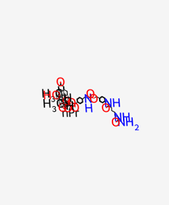 CCCC1O[C@@H]2CC3[C@@H]4CCC5=CC(=O)C=C[C@]5(C)C4[C@@H](O)C[C@]3(C)[C@]2(C(=O)COC(=O)c2ccc(CNC(=O)OCc3ccc(NC(=O)CCCCNC(N)=O)cc3)cc2)O1